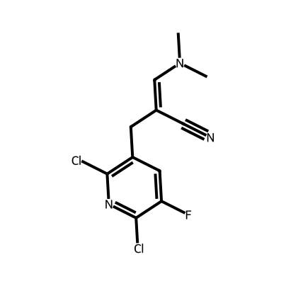 CN(C)C=C(C#N)Cc1cc(F)c(Cl)nc1Cl